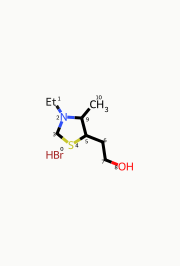 Br.CCN1CSC(CCO)C1C